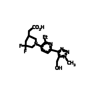 CCc1nc(-c2nnn(C)c2CO)ccc1N1CC(CC(=O)O)CC(F)(F)C1